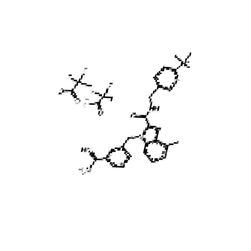 Cc1cccc2c1cc(C(=O)NCc1ccc([N+](C)(C)C)cc1)n2Cc1cccc(C(=N)N)c1.O=C(O)C(F)(F)F.O=C([O-])C(F)(F)F